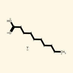 CCCCCCCCCC(=O)O.[Y]